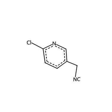 [C-]#[N+]Cc1ccc(Cl)nc1